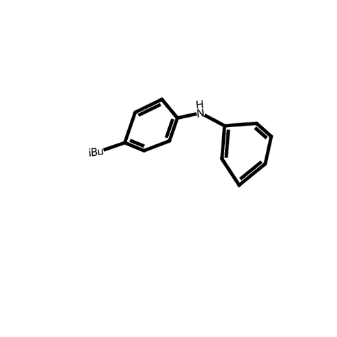 CCC(C)c1ccc(Nc2ccccc2)cc1